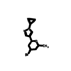 CC1CC(Br)CC(c2cnn(C3CC3)c2)O1